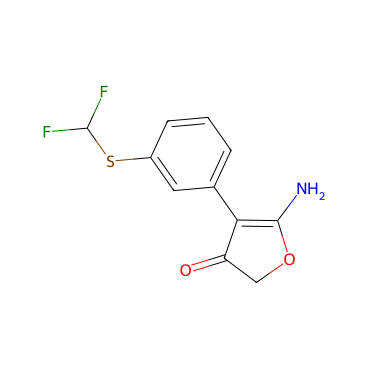 NC1=C(c2cccc(SC(F)F)c2)C(=O)CO1